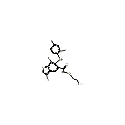 O=C(NOCCO)c1cc2c(Cl)coc2c(F)c1Nc1ccc(I)cc1F